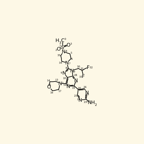 CS(=O)(=O)N1CCN(c2nc3c(N4CCOCC4)nc(-c4cnc(N)nc4)nc3n2CC(F)F)CC1